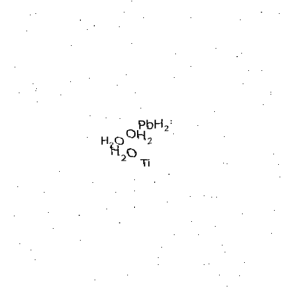 O.O.O.[PbH2].[Ti]